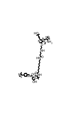 CCn1c(-c2nonc2N)nc2c(C#CC(C)(C)O)ncc(OCCCNCCCC(=O)NCCCCCCCCCC(=O)N[C@H](C(=O)N3C[C@H](O)C[C@H]3C(=O)NCc3ccc(-c4scnc4C)cc3)C(C)(C)C)c21